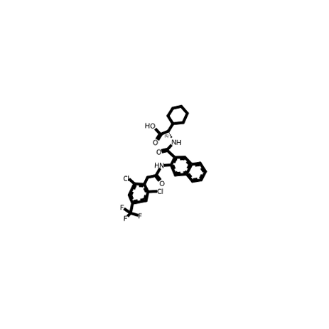 O=C(Cc1c(Cl)cc(C(F)(F)F)cc1Cl)Nc1cc2ccccc2cc1C(=O)N[C@H](C(=O)O)C1CCCCC1